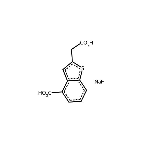 O=C(O)Cc1cc2c(C(=O)O)cccc2s1.[NaH]